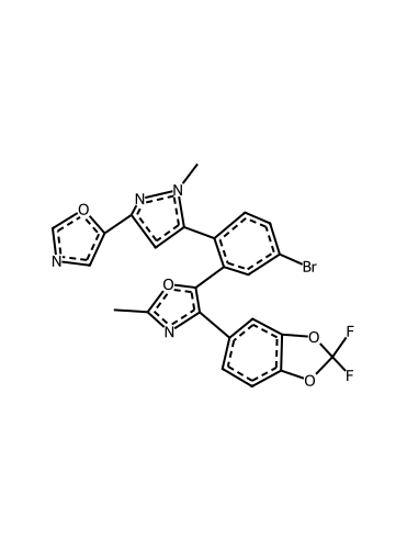 Cc1nc(-c2ccc3c(c2)OC(F)(F)O3)c(-c2cc(Br)ccc2-c2cc(-c3cnco3)nn2C)o1